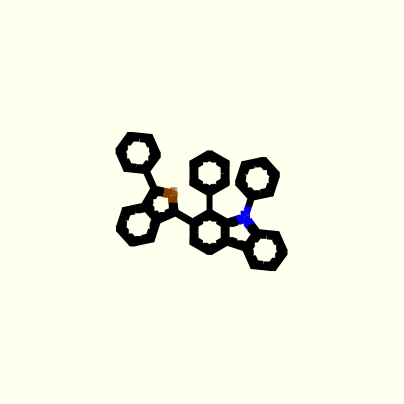 c1ccc(-c2sc(-c3ccc4c5ccccc5n(-c5ccccc5)c4c3-c3ccccc3)c3ccccc23)cc1